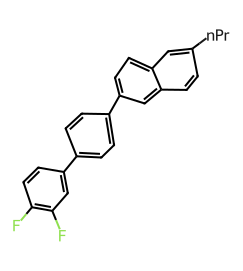 CCCc1ccc2cc(-c3ccc(-c4ccc(F)c(F)c4)cc3)ccc2c1